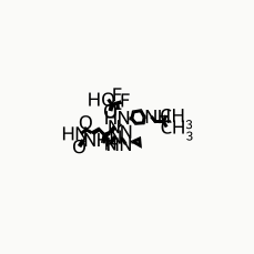 CC(C)CNC1CCC(Nc2nc(NC3CC3)n3ncc(/C=C4\NC(=O)NC4=O)c3n2)CC1.O=C(O)C(F)(F)F